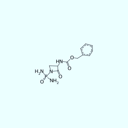 NP(N)(=O)N1CC(NC(=O)OCc2ccccc2)C1=O